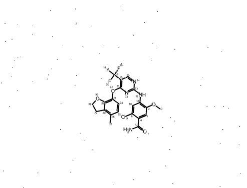 COc1cc(C(N)=O)c(Cl)cc1Nc1ncc(C(F)(F)F)c(Oc2ccc(C)c3c2OCC3)n1